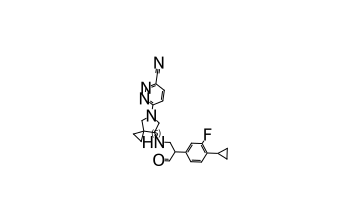 N#Cc1ccc(N2C[C@@H](NCC(C=O)c3ccc(C4CC4)c(F)c3)C3(CC3)C2)nn1